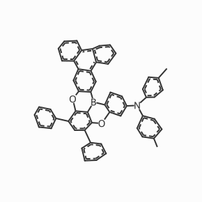 Cc1ccc(N(c2ccc(C)cc2)c2ccc3c(c2)Oc2c(-c4ccccc4)cc(-c4ccccc4)c4c2B3c2cc3c5ccccc5c5ccccc5c3cc2O4)cc1